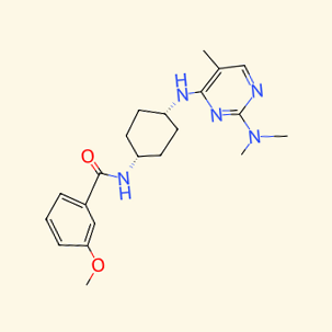 COc1cccc(C(=O)N[C@H]2CC[C@@H](Nc3nc(N(C)C)ncc3C)CC2)c1